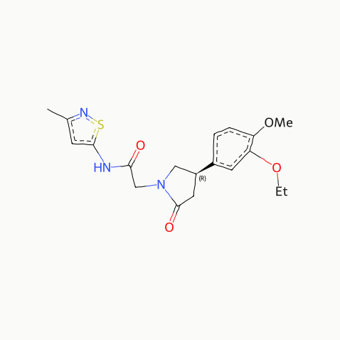 CCOc1cc([C@H]2CC(=O)N(CC(=O)Nc3cc(C)ns3)C2)ccc1OC